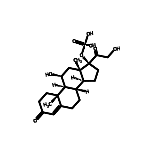 C[C@]12CCC(=O)C=C1CC[C@@H]1[C@@H]2[C@@H](O)C[C@@]2(C)[C@H]1CC[C@@]2(OP(=O)(O)O)C(=O)CO